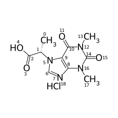 C[C@@H](C(=O)O)n1cnc2c1c(=O)n(C)c(=O)n2C.Cl